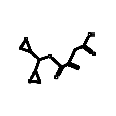 C=C(CC(=O)O)C(=O)OC(C1CO1)C1CO1